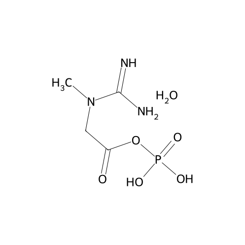 CN(CC(=O)OP(=O)(O)O)C(=N)N.O